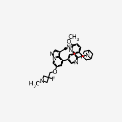 COc1ccc(CN2C3CC2CN(c2ccc(-c4cc(OCC5(F)CN(C)C5)cn5ncc(C#N)c45)cn2)C3)cn1